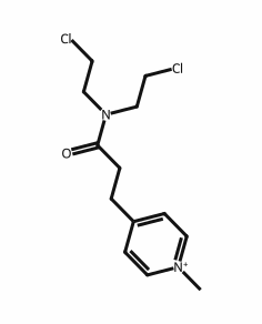 C[n+]1ccc(CCC(=O)N(CCCl)CCCl)cc1